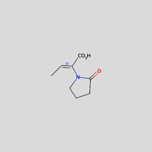 C/C=C(/C(=O)O)N1CCCC1=O